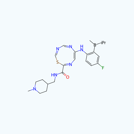 CB(c1cc(F)ccc1Nc1cnc(C(=O)NCC2CCN(C)CC2)scncn1)C(C)C